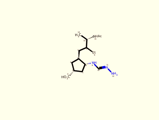 CCC(C[C@@H]1C[C@@H](C(=O)O)C[C@H]1NC=NN)[C@H](C)NC(C)=O